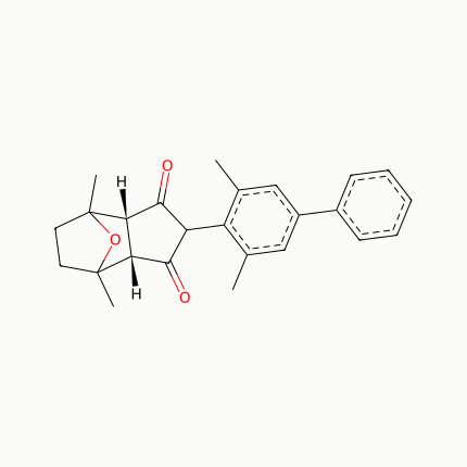 Cc1cc(-c2ccccc2)cc(C)c1C1C(=O)[C@@H]2[C@H](C1=O)C1(C)CCC2(C)O1